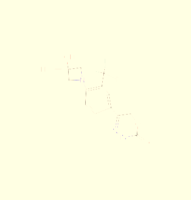 CC1(O)CN(c2ccc(C3=NNC(=O)OC3)cc2C(F)(F)F)C1